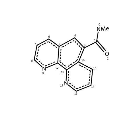 CNC(=O)c1cc2cccnc2c2ncccc12